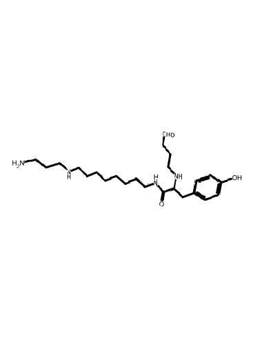 NCCCNCCCCCCCCNC(=O)C(Cc1ccc(O)cc1)NCCCC=O